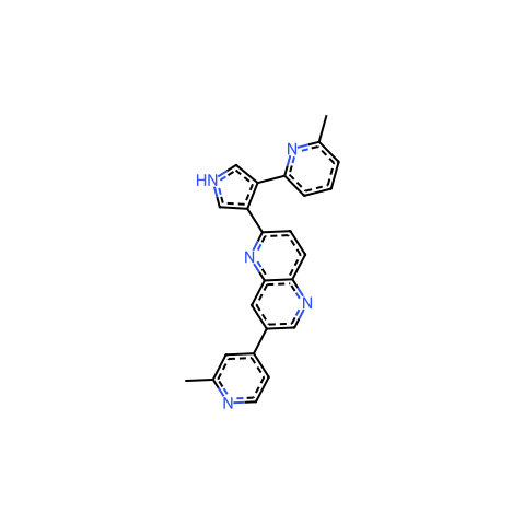 Cc1cc(-c2cnc3ccc(-c4c[nH]cc4-c4cccc(C)n4)nc3c2)ccn1